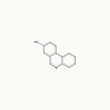 Sc1ccc2c(cnc3ccccc32)c1